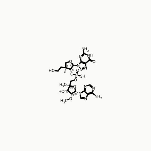 CO[C@H]1[C@@H](n2cnc3c(N)ncnc32)O[C@](C)(COP(=O)(S)O[C@H]2[C@H](n3nnc4c(=O)[nH]c(N)nc43)OC[C@]2(F)CCO)[C@H]1O